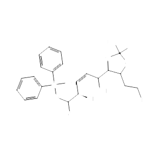 CC(/C=C\[C@@H](C)C(C)O[Si](c1ccccc1)(c1ccccc1)C(C)(C)C)C1OC(C)(C)OC1CCI